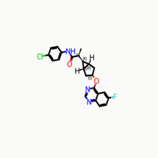 C[C@H](C(=O)Nc1ccc(Cl)cc1)[C@H]1[C@@H]2C[C@@H](Oc3ncnc4ccc(F)cc34)C[C@@H]21